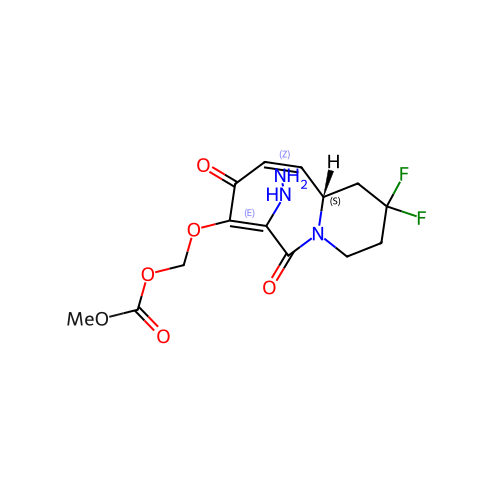 COC(=O)OCO/C1=C(/NN)C(=O)N2CCC(F)(F)C[C@H]2/C=C\C1=O